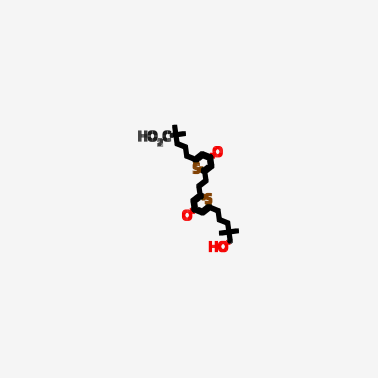 CC(C)(CO)CCCc1cc(=O)cc(CCc2cc(=O)cc(CCCC(C)(C)C(=O)O)s2)s1